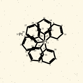 C1=CCC[C]([Pt]([C]2=CCC=CC2)([c]2ccccc2)([c]2ccccc2)([c]2ccccc2)[c]2ccccc2)=C1.[Pt]